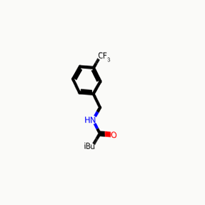 CCC(C)C(=O)NCc1cccc(C(F)(F)F)c1